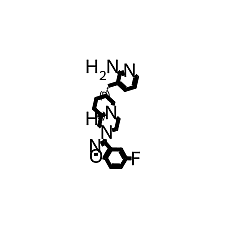 Nc1ncccc1C[C@H]1CC[C@H]2CN(c3noc4ccc(F)cc34)CCN2C1